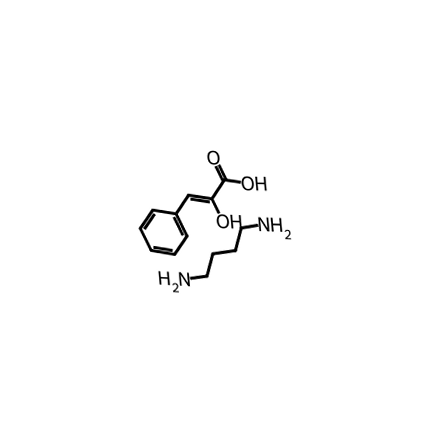 NCCCCN.O=C(O)C(O)=Cc1ccccc1